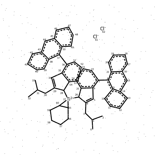 CC(C)CC1=Cc2c(-c3c4ccccc4cc4ccccc34)cccc2[CH]1[Ti+2]1([CH]2C(CC(C)C)=Cc3c(-c4c5ccccc5cc5ccccc45)cccc32)[CH]2CCCC[CH]21.[Cl-].[Cl-]